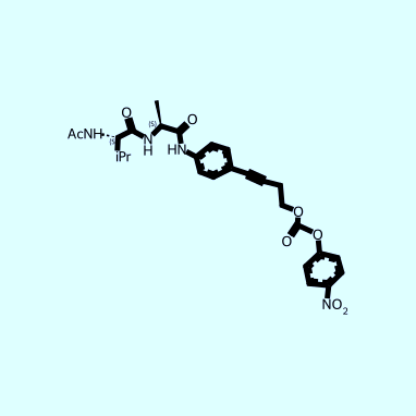 CC(=O)N[C@H](C(=O)N[C@@H](C)C(=O)Nc1ccc(C#CCCOC(=O)Oc2ccc([N+](=O)[O-])cc2)cc1)C(C)C